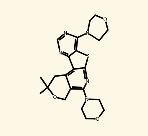 CC1(C)Cc2c(c(N3CCOCC3)nc3sc4c(N5CCOCC5)ncnc4c23)CO1